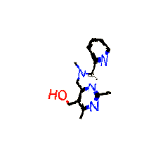 Cc1nc(C)c(CO)c(CN(C)[C@@H](C)c2ccccn2)n1